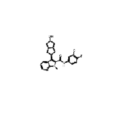 Cn1c(C(=O)Nc2ccc(F)c(Cl)c2)c(C2CC3CC(O)CC3C2)c2cccnc21